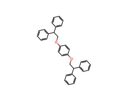 c1ccc(C(COc2ccc(OCC(c3ccccc3)c3ccccc3)cc2)c2ccccc2)cc1